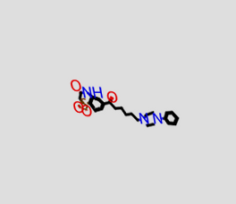 O=C1CS(=O)(=O)c2ccc(C(=O)CCCCCN3CCN(c4ccccc4)CC3)cc2N1